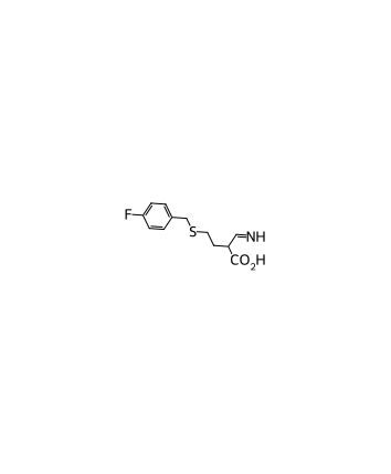 N=CC(CCSCc1ccc(F)cc1)C(=O)O